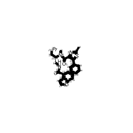 Cc1nc(C(=O)N(C)[C@H](CNC(=O)c2cccc3occc23)CC(C)C)c(-c2ccccc2)s1